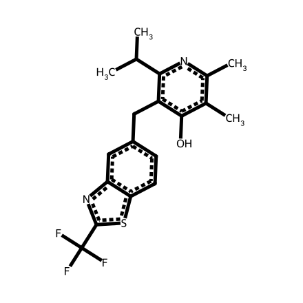 Cc1nc(C(C)C)c(Cc2ccc3sc(C(F)(F)F)nc3c2)c(O)c1C